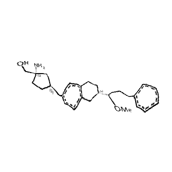 COC(Cc1ccccc1)[C@H]1CCc2cc([C@H]3CC[C@@](N)(CO)C3)ccc2C1